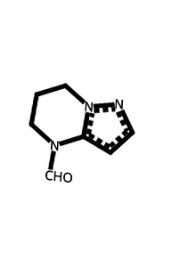 O=CN1CCCn2nccc21